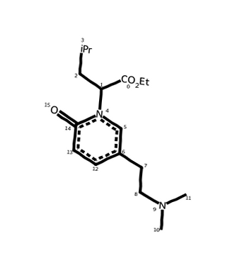 CCOC(=O)C(CC(C)C)n1cc(CCN(C)C)ccc1=O